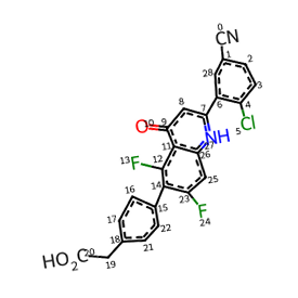 N#Cc1ccc(Cl)c(-c2cc(=O)c3c(F)c(-c4ccc(CC(=O)O)cc4)c(F)cc3[nH]2)c1